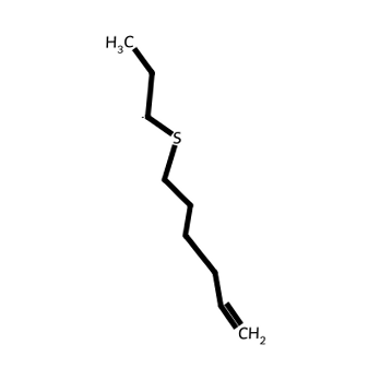 C=CCCCCS[CH]CC